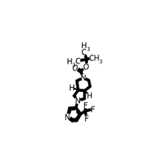 CC(C)(C)OC(=O)N1CC[C@@H]2CN(c3cnccc3C(F)(F)F)C[C@@H]2C1